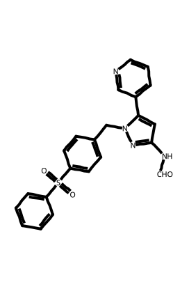 O=CNc1cc(-c2cccnc2)n(Cc2ccc(S(=O)(=O)c3ccccc3)cc2)n1